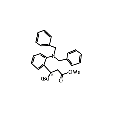 COC(=O)C[C@H](c1ccccc1N(Cc1ccccc1)Cc1ccccc1)C(C)(C)C